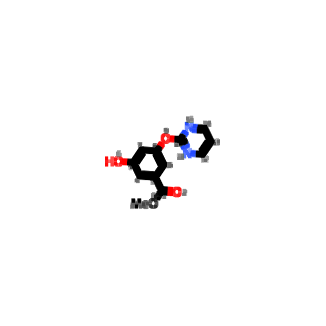 COC(=O)c1cc(O)cc(Oc2ncccn2)c1